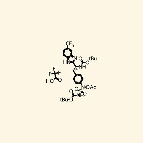 CC(=O)ON(c1ccc(C[C@H](NC(=O)OC(C)(C)C)c2nc3cc(C(F)(F)F)ccc3[nH]2)cc1)S(=O)(=O)NC(=O)OC(C)(C)C.O=C(O)C(F)(F)F